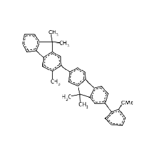 COc1ccccc1-c1ccc2c(c1)C(C)(C)c1cc(-c3cc4c(cc3C)-c3ccccc3C4(C)C)ccc1-2